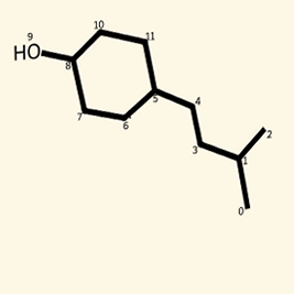 CC(C)CCC1[CH]CC(O)CC1